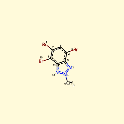 Cn1nc2c(Br)cc(Br)c(Br)c2n1